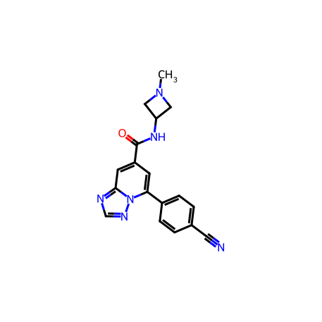 CN1CC(NC(=O)c2cc(-c3ccc(C#N)cc3)n3ncnc3c2)C1